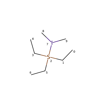 CCS(CC)(CC)I(C)C